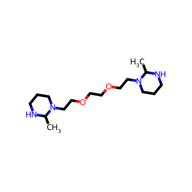 CC1NCCCN1CCOCCOCCN1CCCNC1C